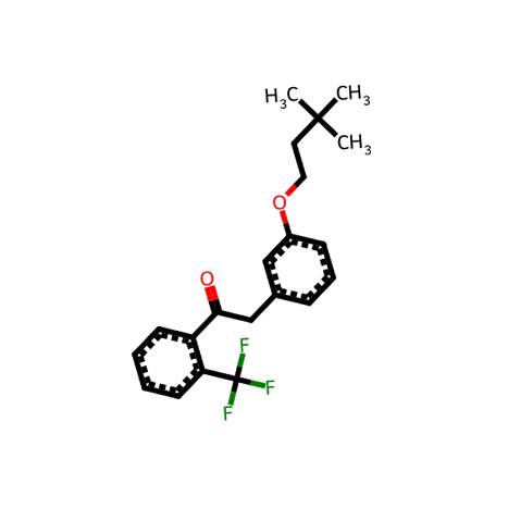 CC(C)(C)CCOc1cccc(CC(=O)c2ccccc2C(F)(F)F)c1